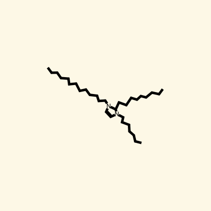 CCCCCCCCCCCCCN1C=CN(CCCCCCC)C1CCCCCCCCC